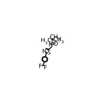 CC(C)(C)[S@@+]([O-])/N=C/c1cnc(-c2ccc(C(F)F)cc2)s1